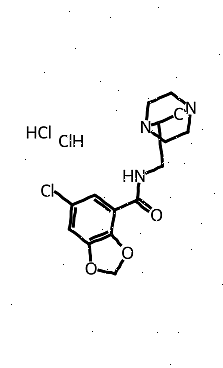 Cl.Cl.O=C(NCC1CN2CCN1CC2)c1cc(Cl)cc2c1OCO2